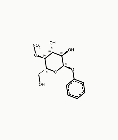 O=[N+]([O-])O[C@H]1[C@H](O)[C@@H](O)[C@@H](Oc2ccccc2)O[C@@H]1CO